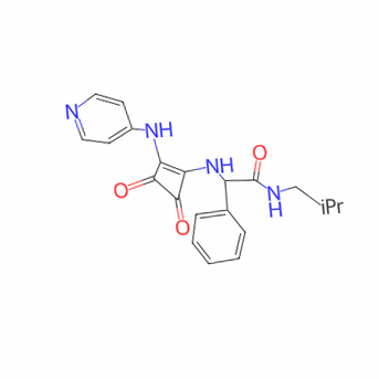 CC(C)CNC(=O)C(Nc1c(Nc2ccncc2)c(=O)c1=O)c1ccccc1